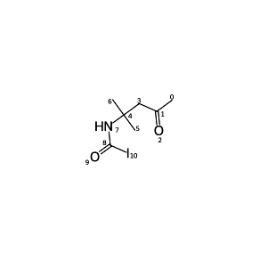 CC(=O)CC(C)(C)NC(=O)I